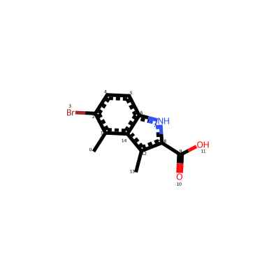 Cc1c(Br)ccc2[nH]c(C(=O)O)c(C)c12